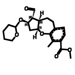 COC(=O)c1ccc2c(c1C)O[C@H]1C[C@@H](OC3CCCCO3)[C@H](C=O)[C@H]1CC2